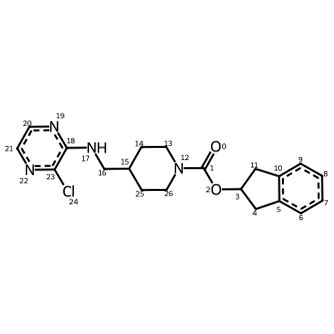 O=C(OC1Cc2ccccc2C1)N1CCC(CNc2nccnc2Cl)CC1